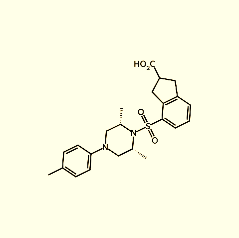 Cc1ccc(N2C[C@@H](C)N(S(=O)(=O)c3cccc4c3CC(C(=O)O)C4)[C@@H](C)C2)cc1